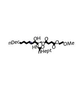 CCCCCCCCCCCCC/C=C/[C@@H](O)[C@H](COC(=O)CCC(=O)OCCOC)NC(=O)CCCCCCC